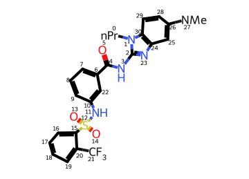 CCCn1c(NC(=O)c2cccc(NS(=O)(=O)c3ccccc3C(F)(F)F)c2)nc2cc(NC)ccc21